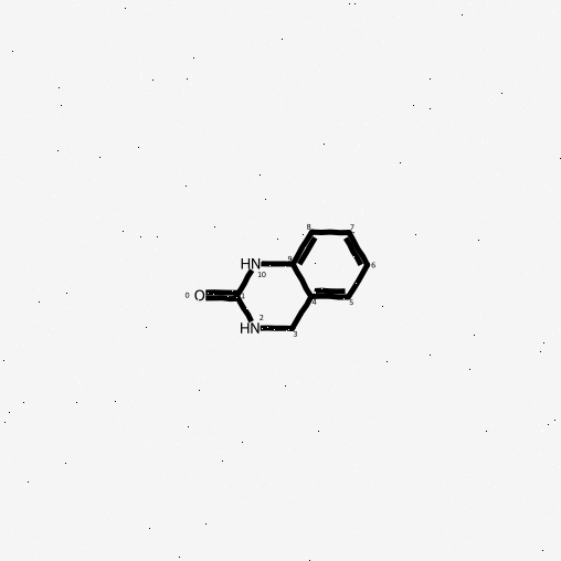 O=C1NCc2cc[c]cc2N1